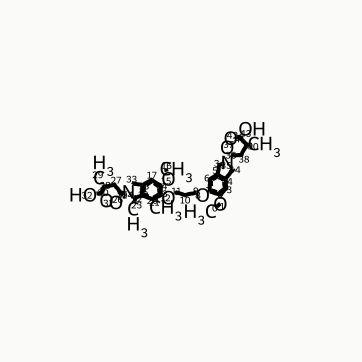 COc1cc2c(cc1OCCCOc1c(OC)cc3c(c1C)C(C)N(C(=O)CC(C)C(=O)O)C3)CN(C(=O)CC(C)C(=O)O)C2